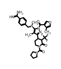 Cc1cocc1C(=O)n1nc(C2CCN(C(=O)N3CCCC3)C(=O)C2C(F)(F)F)c(C)c1N(C)Cc1ccc(C(=N)N)cc1